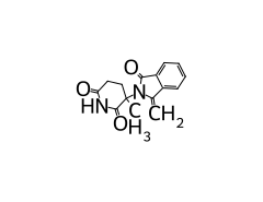 C=C1c2ccccc2C(=O)N1C1(C)CCC(=O)NC1=O